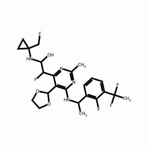 Cc1nc(NC(C)c2cccc(C(C)(F)F)c2F)c(C2OCCO2)c(C(F)C(O)NC2(CF)CC2)n1